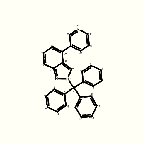 c1ccc(C(c2ccccc2)(c2ccccc2)n2cc3c(-c4cccnc4)cccc3n2)cc1